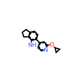 Nc1c(-c2ccnc(OC3CC3)c2)ccc2c1CCC2